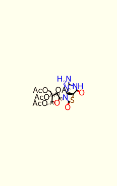 CC(=O)OC[C@H]1O[C@@H](n2c(=O)sc3c(=O)[nH]c(N)nc32)[C@H](OC(C)=O)[C@@]1(COC(C)=O)OC(C)=O